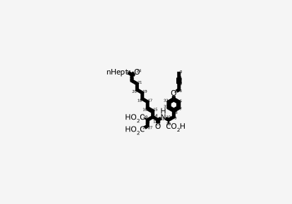 CC#CCOc1ccc(C[C@H](NC(=O)C(/C=C/CCCCCCC(=O)CCCCCCC)[C@@H](CC(=O)O)C(=O)O)C(=O)O)cc1